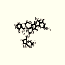 Cc1cc(N)nc(-c2c(Cl)c3c4c(nc(OC[C@@H]5CC[C@H]6COC(F)(F)CN56)nc4c2F)N([C@H](C)c2cccnc2N)CCO3)c1C(F)(F)F